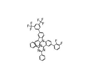 Fc1cccc(-c2ccc(-n3c4ccccc4c4cc(-c5cc(C(F)(F)F)cc(C(F)(F)F)c5)ccc43)c(-c3nc(-c4ccccc4)nc(-c4ccccc4)n3)c2)c1F